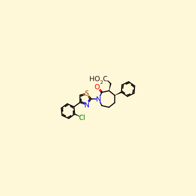 O=C(O)C[C@@H]1C(=O)N(c2nc(-c3ccccc3Cl)cs2)CCC[C@@H]1c1ccccc1